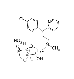 CN(C)CCC(c1ccc(Cl)cc1)c1ccccn1.O=[N+]([O-])O[C@@H]1CO[C@H]2[C@@H]1OC[C@@H]2O